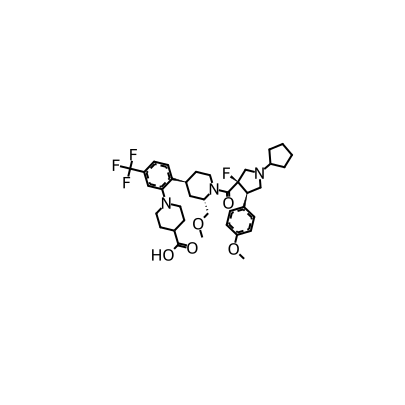 COC[C@@H]1C[C@@H](c2ccc(C(F)(F)F)cc2N2CCC(C(=O)O)CC2)CCN1C(=O)[C@]1(F)CN(C2CCCC2)C[C@H]1c1ccc(OC)cc1